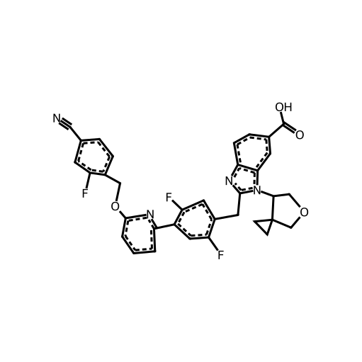 N#Cc1ccc(COc2cccc(-c3cc(F)c(Cc4nc5ccc(C(=O)O)cc5n4C4COCC45CC5)cc3F)n2)c(F)c1